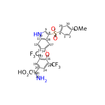 COc1ccc(S(=O)(=O)c2c[nH]c3ccc(Oc4c(C(F)(F)F)cc([C@H](N)C(=O)O)cc4C(F)(F)F)cc23)cc1